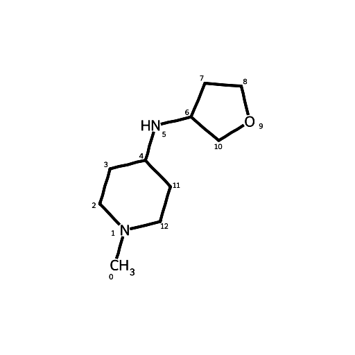 CN1CCC(NC2CCOC2)CC1